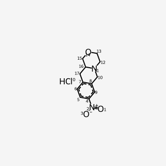 Cl.O=[N+]([O-])c1ccc2c(c1)CN1CCOCC1C2